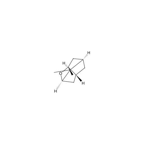 C[C@H]1[C@@H]2C[C@@H]3C[C@H]1O[C@]3(C)C2